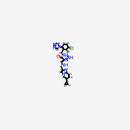 N=N/C(=C\NCc1cn2cc(C3CC3)ccc2n1)C(=O)NCc1c(-n2cnnn2)ccc(Cl)c1F